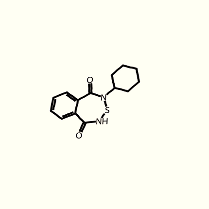 O=C1NSN(C2CCCCC2)C(=O)c2ccccc21